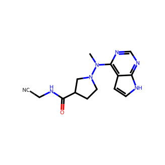 CN(c1ncnc2[nH]ccc12)N1CCC(C(=O)NCC#N)C1